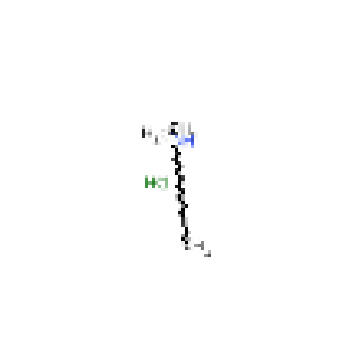 CCCCCCCCCCCCCCCCNC(C)C.Cl